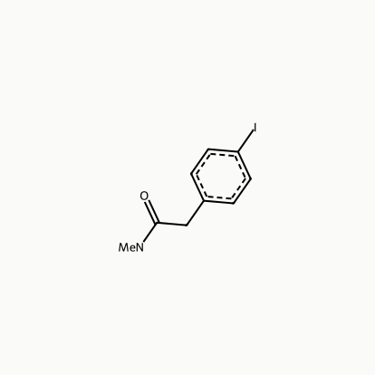 CNC(=O)Cc1ccc(I)cc1